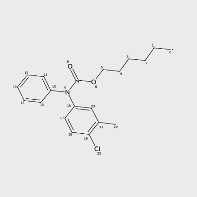 [CH2]CCCCCOC(=O)N(c1ccccc1)c1ccc(Cl)c(C)c1